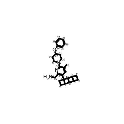 Cc1cc(C23CCC2C2C4CCC4C23)c(CN)nc1N1CCC(Oc2ccccc2)CC1